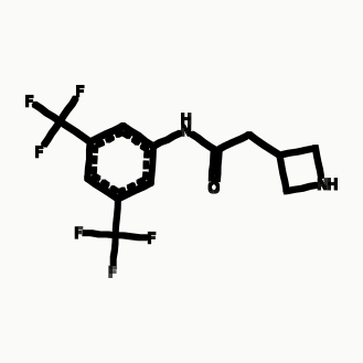 O=C(CC1CNC1)Nc1cc(C(F)(F)F)cc(C(F)(F)F)c1